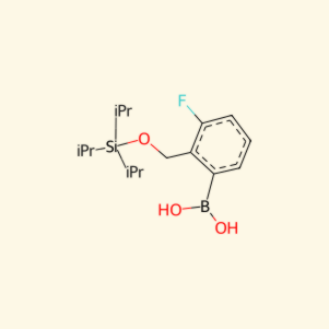 CC(C)[Si](OCc1c(F)cccc1B(O)O)(C(C)C)C(C)C